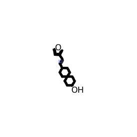 OC1CCC2(CC1)CCC(/C=C/c1ccoc1)CC2